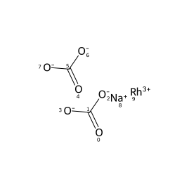 O=C([O-])[O-].O=C([O-])[O-].[Na+].[Rh+3]